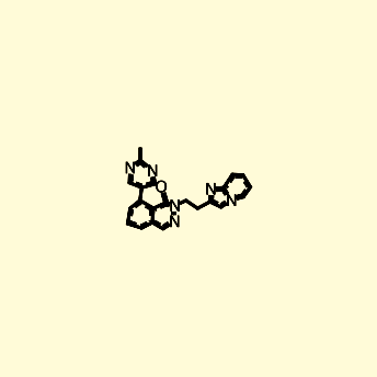 Cc1ncc(-c2cccc3cnn(CCc4cn5ccccc5n4)c(=O)c23)cn1